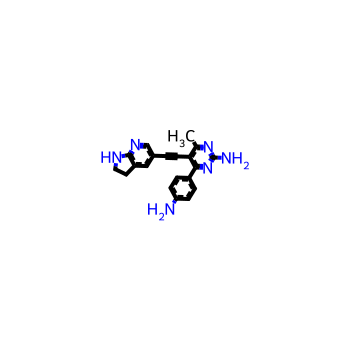 Cc1nc(N)nc(-c2ccc(N)cc2)c1C#Cc1cnc2c(c1)CCN2